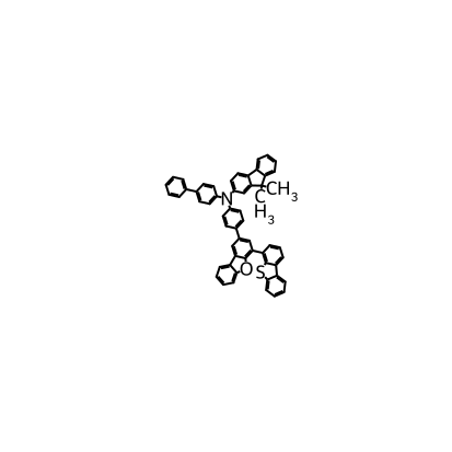 CC1(C)c2ccccc2-c2ccc(N(c3ccc(-c4ccccc4)cc3)c3ccc(-c4cc(-c5cccc6c5sc5ccccc56)c5oc6ccccc6c5c4)cc3)cc21